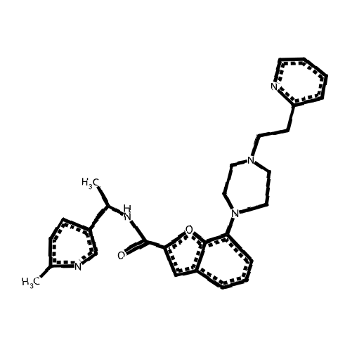 Cc1ccc(C(C)NC(=O)c2cc3cccc(N4CCN(CCc5ccccn5)CC4)c3o2)cn1